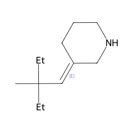 CCC(C)(/C=C1\CCCNC1)CC